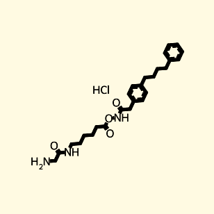 Cl.NCC(=O)NCCCCCC(=O)ONC(=O)Cc1ccc(CCCCc2ccccc2)cc1